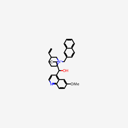 C=CC1C[N+]2(Cc3ccc4ccccc4c3)CCC1CC2C(O)c1ccnc2ccc(OC)cc12